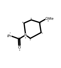 COC1CCN(C(=O)C(C)C)CC1